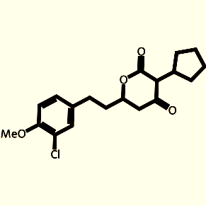 COc1ccc(CCC2CC(=O)C(C3CCCC3)C(=O)O2)cc1Cl